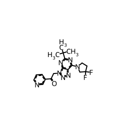 CC(C)(C)c1nc(N2CCC(F)(F)C2)c2nnn(CC(=O)c3cccnc3)c2n1